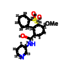 COc1ccc(C(=O)Nc2cccnc2)c2c1S(=O)(=O)c1ccccc1-2